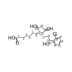 O=C(O)CCCCCC[C@@H]1[C@@H](CCC(O)c2ccccc2Cl)[C@H](O)C[C@@H]1O